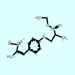 CCO[PH](=O)C(C)COc1ccc(C=C(C)[N+](=O)[O-])cc1